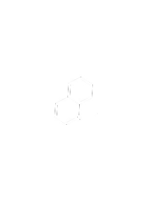 [La].c1ccc2ncccc2c1